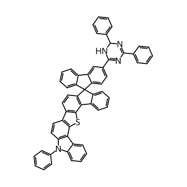 c1ccc(C2=NC(c3ccccc3)NC(c3ccc4c(c3)-c3ccccc3C43c4ccccc4-c4c3ccc3c4sc4c3ccc3c4c4ccccc4n3-c3ccccc3)=N2)cc1